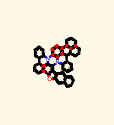 c1ccc(-c2ccc(N(c3ccccc3-c3ccccc3)c3ccc4oc5cc6ccccc6cc5c4c3N(c3ccccc3)c3ccccc3-c3cccc4ccccc34)cc2)cc1